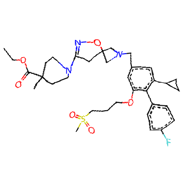 CCOC(=O)C1(C)CCN(C2=NOC3(C2)CN(Cc2cc(OCCCS(C)(=O)=O)c(-c4ccc(F)cc4)c(C4CC4)c2)C3)CC1